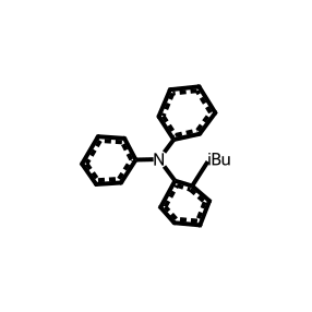 CCC(C)c1ccccc1N(c1ccccc1)c1ccccc1